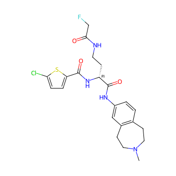 CN1CCc2ccc(NC(=O)[C@@H](CCNC(=O)CF)NC(=O)c3ccc(Cl)s3)cc2CC1